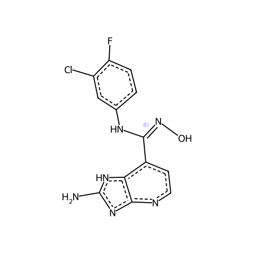 Nc1nc2nccc(/C(=N\O)Nc3ccc(F)c(Cl)c3)c2[nH]1